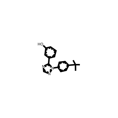 CC(C)(C)c1ccc(-n2ncnc2-c2cccc(O)c2)cc1